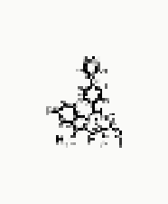 Cc1c(CC(C)(C)C(=O)O)n(Cc2ccc(-n3ccnc3)cc2)c2c(F)cc(F)cc12